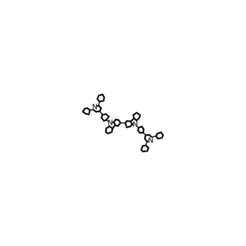 c1ccc(-c2cc(-c3ccc(-n4c5ccccc5c5cc(-c6ccc7c(c6)c6ccccc6n7-c6ccc(-c7cc(-c8ccccc8)nc(-c8ccccc8)c7)cc6)ccc54)cc3)cc(-c3ccccc3)n2)cc1